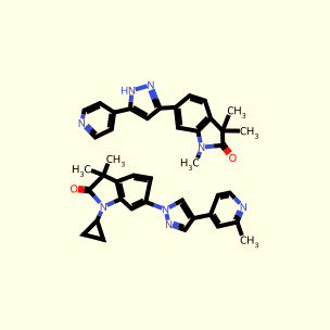 CN1C(=O)C(C)(C)c2ccc(-c3cc(-c4ccncc4)[nH]n3)cc21.Cc1cc(-c2cnn(-c3ccc4c(c3)N(C3CC3)C(=O)C4(C)C)c2)ccn1